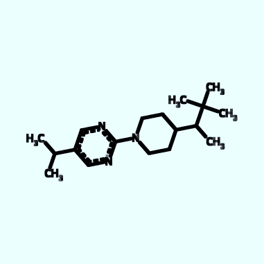 CC(C)c1cnc(N2CCC(C(C)C(C)(C)C)CC2)nc1